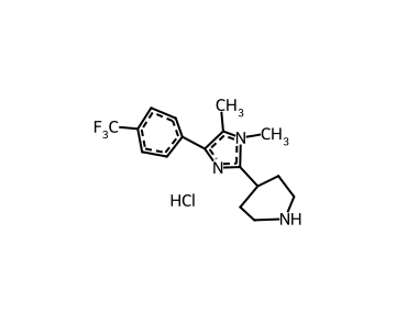 Cc1c(-c2ccc(C(F)(F)F)cc2)nc(C2CCNCC2)n1C.Cl